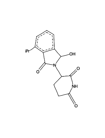 CC(C)c1cccc2c1C(=O)N(C1CCC(=O)NC1=O)C2O